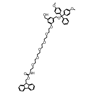 COc1ccc(C(OCc2cc(CO)cc(OCCOCCOCCOCCOCCOCCNC(=O)OCC3c4ccccc4-c4ccccc43)c2)(c2ccccc2)c2ccc(OC)cc2)cc1